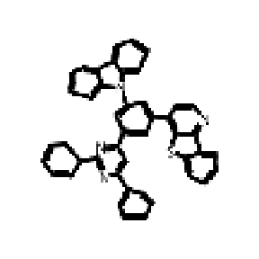 C1=CCC(c2nc(-c3ccccc3)cc(-c3cc(-c4ccnc5c4sc4ccccc45)cc(-n4c5ccccc5c5ccccc54)c3)n2)C=C1